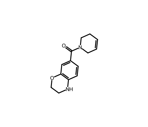 O=C(c1ccc2c(c1)OCCN2)N1CC=CCC1